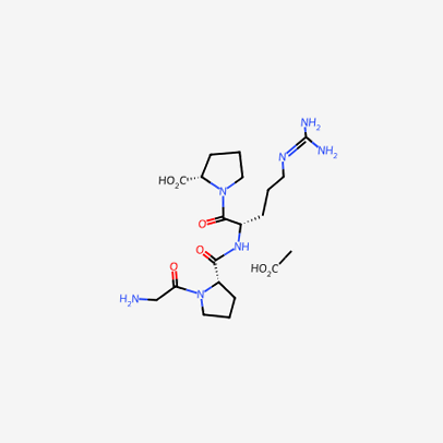 CC(=O)O.NCC(=O)N1CCC[C@H]1C(=O)N[C@@H](CCCN=C(N)N)C(=O)N1CCC[C@H]1C(=O)O